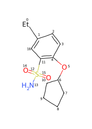 CCc1ccc(OC2CCCC2)c(S(N)(=O)=O)c1